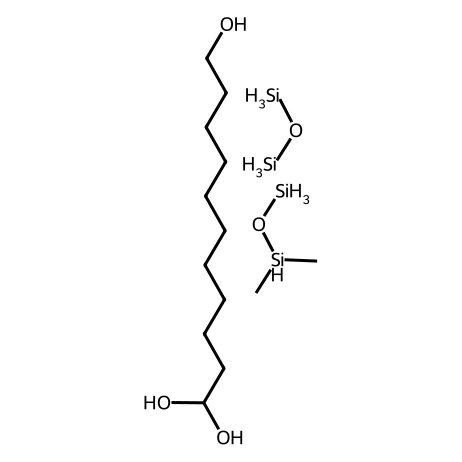 C[SiH](C)O[SiH3].OCCCCCCCCCCC(O)O.[SiH3]O[SiH3]